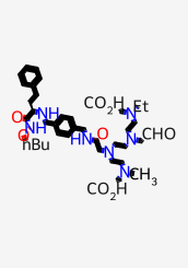 CCCCONC(=O)[C@@H](CCc1ccccc1)NCc1ccc(CNC(=O)CN(CCN(C)CC(=O)O)CCN(CC=O)CCN(CC)CC(=O)O)cc1